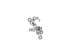 C[C@H](CC(=O)N1CCC(O)(C(O)c2cnc3c(-c4ccccc4)cccn3c2=O)CC1)c1ccccc1